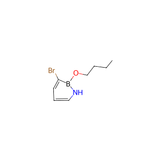 CCCCOB1NC=CC=C1Br